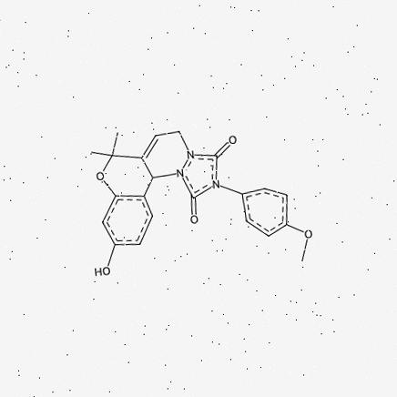 COc1ccc(-n2c(=O)n3n(c2=O)C2C(=CC3)C(C)(C)Oc3cc(O)ccc32)cc1